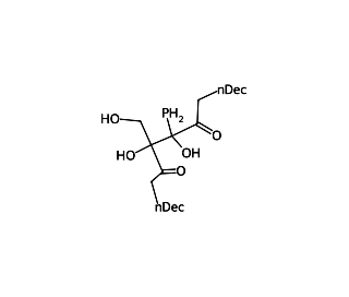 CCCCCCCCCCCC(=O)C(O)(P)C(O)(CO)C(=O)CCCCCCCCCCC